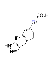 CC(C)c1[nH]ncc1Cc1ccc(/C=C/C(=O)O)cc1